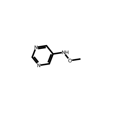 CONc1cncnc1